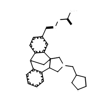 CNC(=O)ON=Cc1ccc2c(c1)C13CC2c2ccccc2C1CN(CC1CCCC1)C3